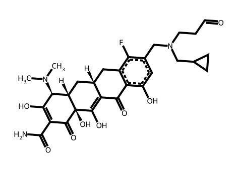 CN(C)[C@@H]1C(O)=C(C(N)=O)C(=O)[C@@]2(O)C(O)=C3C(=O)c4c(O)cc(CN(CCC=O)CC5CC5)c(F)c4C[C@H]3C[C@@H]12